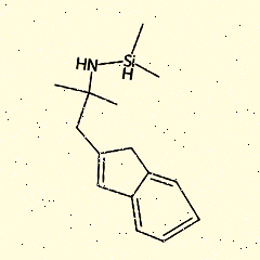 C[SiH](C)NC(C)(C)CC1=Cc2ccccc2C1